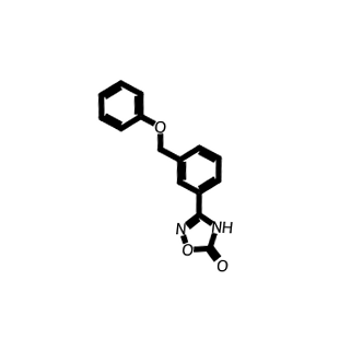 O=c1[nH]c(-c2cccc(COc3ccccc3)c2)no1